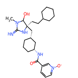 CN1C(=N)N[C@](CCC2CCCCC2)(C[C@H]2CCC[C@@H](NC(=O)c3ccc[n+]([O-])c3)C2)C1O